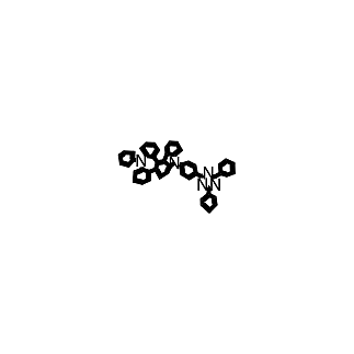 c1ccc(-c2nc(-c3ccccc3)nc(-c3ccc(-n4c5ccccc5c5c6c(ccc54)-c4ccccc4N(c4ccccc4)c4ccccc4-6)cc3)n2)cc1